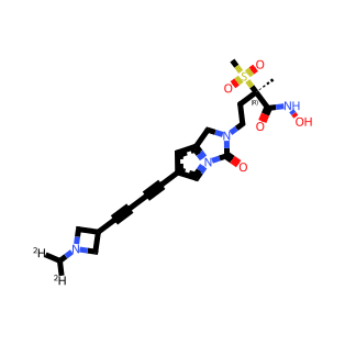 [2H]C([2H])N1CC(C#CC#Cc2cc3n(c2)C(=O)N(CC[C@](C)(C(=O)NO)S(C)(=O)=O)C3)C1